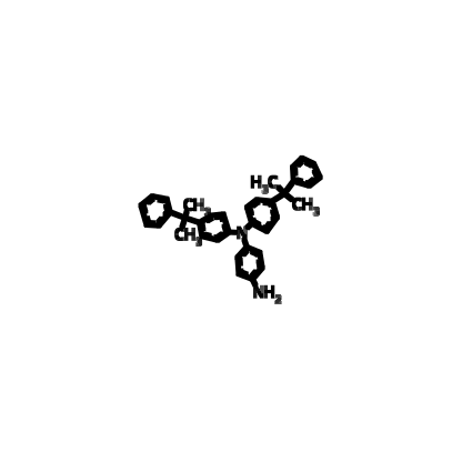 CC(C)(c1ccccc1)c1ccc(N(c2ccc(N)cc2)c2ccc(C(C)(C)c3ccccc3)cc2)cc1